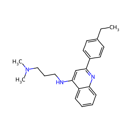 CCc1ccc(-c2cc(NCCCN(C)C)c3ccccc3n2)cc1